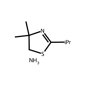 CC(C)C1=NC(C)(C)CS1.N